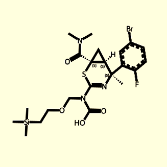 CN(C)C(=O)[C@]12C[C@H]1[C@@](C)(c1cc(Br)ccc1F)N=C(N(COCC[Si](C)(C)C)C(=O)O)S2